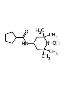 CC1(C)CC(NC(=O)C2CCCC2)CC(C)(C)N1O